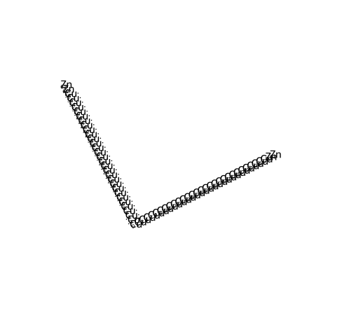 [Cu].[Cu].[Cu].[Cu].[Cu].[Cu].[Cu].[Cu].[Cu].[Cu].[Cu].[Cu].[Cu].[Cu].[Cu].[Cu].[Cu].[Cu].[Cu].[Cu].[Cu].[Cu].[Cu].[Cu].[Cu].[Cu].[Cu].[Cu].[Cu].[Cu].[Cu].[Cu].[Cu].[Cu].[Cu].[Cu].[Cu].[Cu].[Cu].[Cu].[Cu].[Cu].[Cu].[Cu].[Cu].[Cu].[Cu].[Cu].[Cu].[Cu].[Cu].[Cu].[Cu].[Cu].[Cu].[Cu].[Cu].[Cu].[Cu].[Zn].[Zn].[Zn].[Zn]